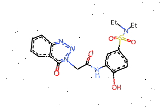 CCN(CC)S(=O)(=O)c1ccc(O)c(NC(=O)Cn2nnc3ccccc3c2=O)c1